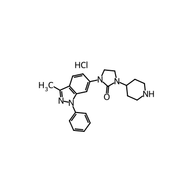 Cc1nn(-c2ccccc2)c2cc(N3CCN(C4CCNCC4)C3=O)ccc12.Cl